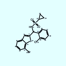 O=S(=O)(NC(c1cc2cccc(Br)c2s1)c1ccccc1Cl)C1CC1